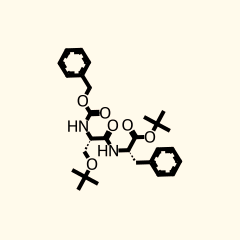 CC(C)(C)OC[C@H](NC(=O)OCc1ccccc1)C(=O)N[C@@H](Cc1ccccc1)C(=O)OC(C)(C)C